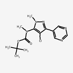 CN(C(=O)OC(C)(C)C)c1c(Cl)c(-c2cncnc2)nn1C